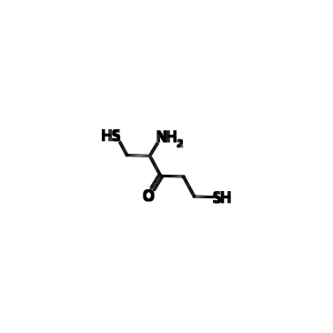 NC(CS)C(=O)CCS